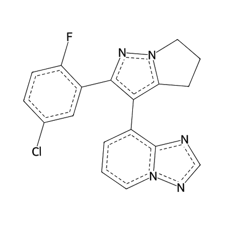 Fc1ccc(Cl)cc1-c1nn2c(c1-c1cccn3ncnc13)CCC2